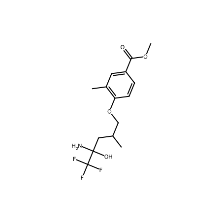 COC(=O)c1ccc(OCC(C)CC(N)(O)C(F)(F)F)c(C)c1